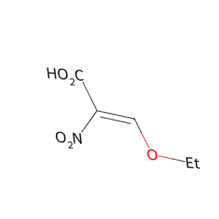 CCOC=C(C(=O)O)[N+](=O)[O-]